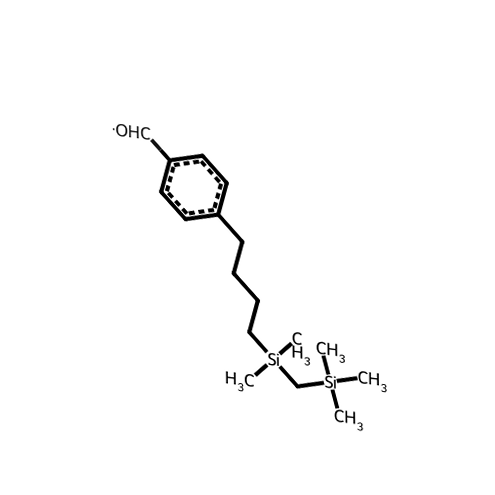 C[Si](C)(C)C[Si](C)(C)CCCCc1ccc([C]=O)cc1